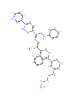 C/C(=C\C=C(/CNc1ccccc1)C1=CC=C(c2cccnc2)NC1)C1=c2ccccc2=C(C2=CC(CCCCN)=CCC2)CC1